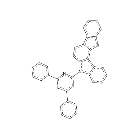 c1ccc(-c2cc(-n3c4ccccc4c4c5sc6ccccc6c5ccc43)nc(-c3ccccc3)n2)cc1